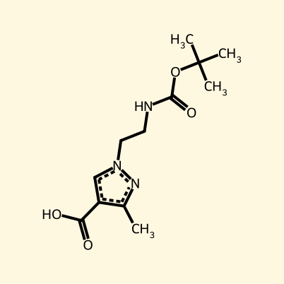 Cc1nn(CCNC(=O)OC(C)(C)C)cc1C(=O)O